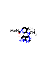 CNC(=O)N1CCC(C)C(N(C)c2ncnc3[nH]ccc23)C1